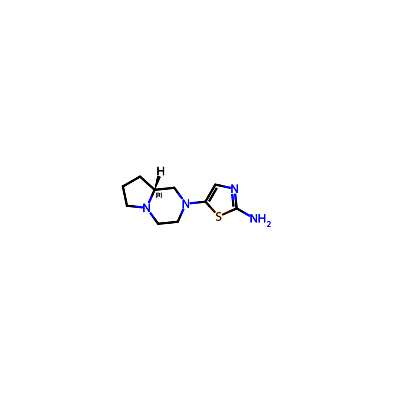 Nc1ncc(N2CCN3CCC[C@@H]3C2)s1